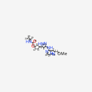 COCc1cc2c(Nc3cc(C4CCC(OC(=O)NC5(C)CC5)C4)[nH]n3)nccn2n1